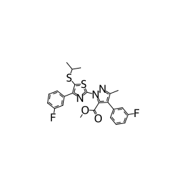 COC(=O)c1c(-c2cccc(F)c2)c(C)nn1-c1nc(-c2cccc(F)c2)c(SC(C)C)s1